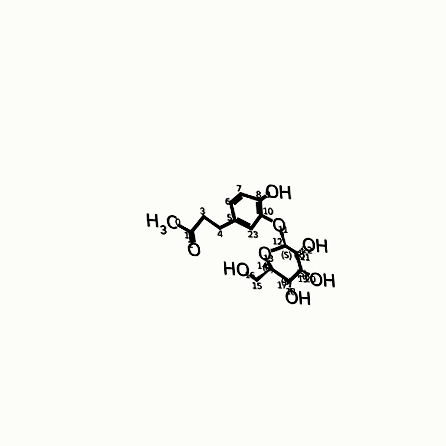 CC(=O)CCc1ccc(O)c(O[C@@H]2O[C@H](CO)[C@@H](O)[C@H](O)[C@H]2O)c1